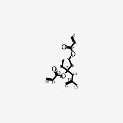 C=CC(=O)OCCC(CC)(CC(=C)C)OC(=O)C=C